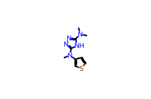 CN(C)c1nnc(N(C)c2ccsc2)[nH]1